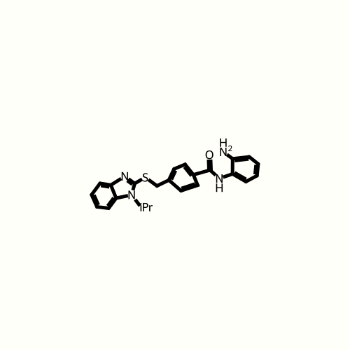 CC(C)n1c(SCc2ccc(C(=O)Nc3ccccc3N)cc2)nc2ccccc21